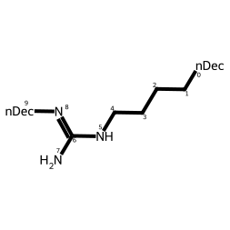 CCCCCCCCCCCCCCNC(N)=NCCCCCCCCCC